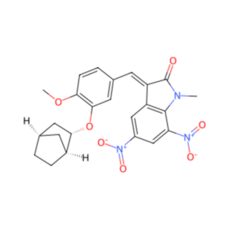 COc1ccc(/C=C2/C(=O)N(C)c3c2cc([N+](=O)[O-])cc3[N+](=O)[O-])cc1O[C@H]1C[C@@H]2CC[C@H]1C2